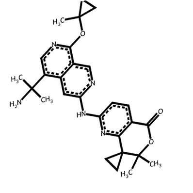 CC1(Oc2ncc(C(C)(C)N)c3cc(Nc4ccc5c(n4)C4(CC4)C(C)(C)OC5=O)ncc23)CC1